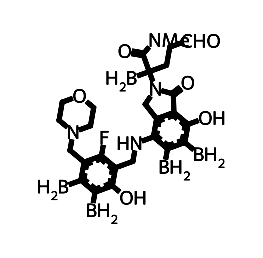 Bc1c(B)c(CN2CCOCC2)c(F)c(CNc2c(B)c(B)c(O)c3c2CN(C(B)(CCC=O)C(=O)NC)C3=O)c1O